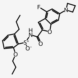 CCCOc1cccc(CCC)c1[S+]([O-])NC(=O)c1cc2c(F)cc(N3CCC3)cc2o1